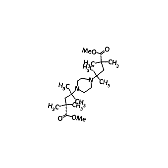 COC(=O)C(C)(C)CC(C)(C)N1CCN(C(C)(C)CC(C)(C)C(=O)OC)CC1